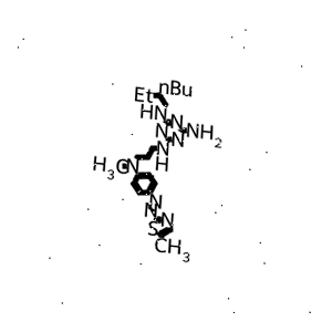 CCCCC(CC)CNc1nc(N)nc(NCCCN(C)c2ccc(N=Nc3ncc(C)s3)cc2)n1